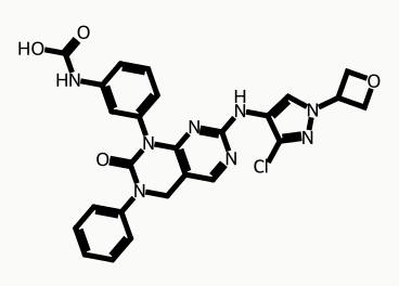 O=C(O)Nc1cccc(N2C(=O)N(c3ccccc3)Cc3cnc(Nc4cn(C5COC5)nc4Cl)nc32)c1